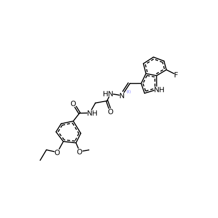 CCOc1ccc(C(=O)NCC(=O)N/N=C/c2c[nH]c3c(F)cccc23)cc1OC